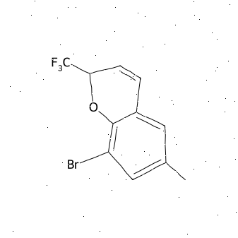 Cc1cc(Br)c2c(c1)C=CC(C(F)(F)F)O2